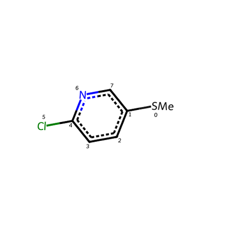 CSc1ccc(Cl)nc1